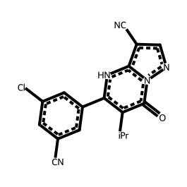 CC(C)c1c(-c2cc(Cl)cc(C#N)c2)[nH]c2c(C#N)cnn2c1=O